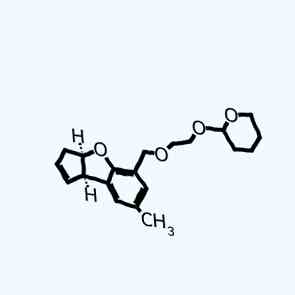 Cc1cc(COCCOC2CCCCO2)c2c(c1)[C@H]1C=CC[C@H]1O2